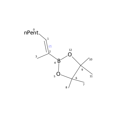 CCCCC/C=C(\C)B1OC(C)(C)C(C)(C)O1